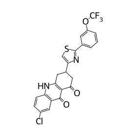 O=C1CC(c2csc(-c3cccc(OC(F)(F)F)c3)n2)Cc2[nH]c3ccc(Cl)cc3c(=O)c21